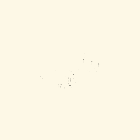 Cc1ccc(NS(=O)(=O)c2ccc(C(F)(F)F)c(P(C)(C)=O)c2)c2[nH]cc(C#N)c12